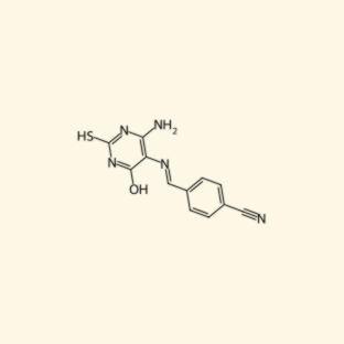 N#Cc1ccc(/C=N/c2c(N)nc(S)nc2O)cc1